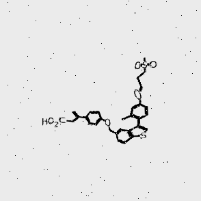 C=C(CC(=O)O)c1ccc(OCc2ccc3scc(-c4ccc(OCCCS(C)(=O)=O)cc4C)c3c2)cc1